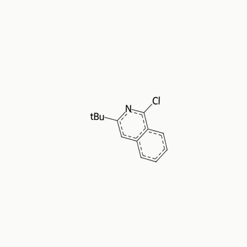 CC(C)(C)c1cc2ccccc2c(Cl)n1